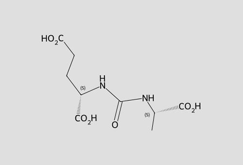 C[C@H](NC(=O)N[C@@H](CCC(=O)O)C(=O)O)C(=O)O